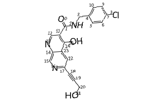 O=C(NCc1ccc(Cl)cc1)c1cnc2cnc(C#CCO)cc2c1O